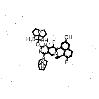 BC(B)(Oc1nc(N2CC3CCC(C2)N3)c2cnc(-c3cc(O)cc4ccc(F)c(C#C)c34)c(F)c2n1)C12CCCN1CCC2